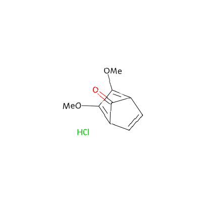 COC1=C2C=CC(=C1OC)C2=O.Cl